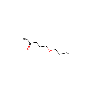 CC(C)(C)CCOCCCC(=O)C(C)(C)C